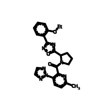 CCOc1ccccc1-c1noc(C2CCCN2C(=O)c2nc(C)ccc2-n2nccn2)n1